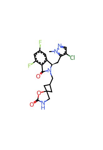 Cn1ncc(Cl)c1C[C@@H]1c2cc(F)cc(F)c2C(=O)N1CC1CC2(CNC(=O)O2)C1